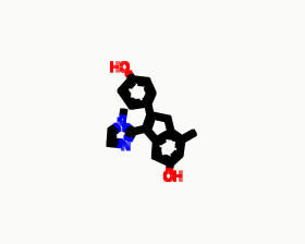 Cc1cc(O)cc2c1CC(c1ccc(O)cc1)=C2c1nccn1C